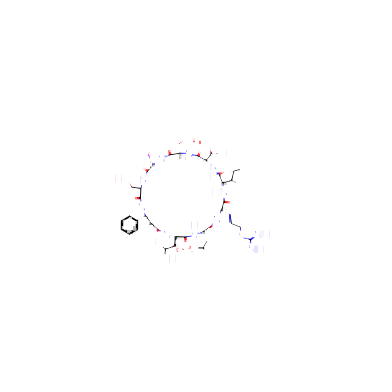 CC[C@H](C)[C@@H]1NC(=O)[C@@H](CCCNC(=N)N)NC(=O)[C@H](CC(C)C)NC(=O)[C@H]([C@H](O)C(C)C)NC(=O)[C@@H](C)[C@@H](c2ccccc2)NC(=O)C(CO)NC(=O)[C@H](CO)NC(=O)[C@@H](CO)NC(=O)[C@H]([C@H](C)O)NC1=O